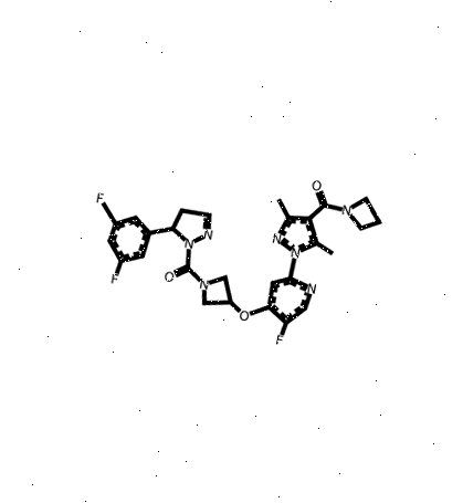 Cc1nn(-c2cc(OC3CN(C(=O)N4N=CCC4c4cc(F)cc(F)c4)C3)c(F)cn2)c(C)c1C(=O)N1CCC1